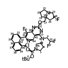 CC(C)(C)OC(=O)N1CC[C@@H](N(CC(F)F)c2nc(OC[C@@]34CCCN3C[C@H](F)C4)nc3c(F)c(-c4cccc5cccc(Cl)c45)ncc23)C1